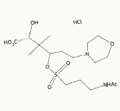 CC(=O)NCCCS(=O)(=O)OC(CCN1CCOCC1)C(C)(C)[C@@H](O)C(=O)O.Cl